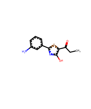 CCC(=O)c1sc(-c2cccc(N)c2)nc1O